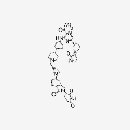 CN1CCN([C@@H]2CCCN(c3cnc(C(N)=O)c(Nc4ccc(C5CCN(C[C@H]6CCN(c7ccc8c(c7)CN(C7CCC(=O)NC7=O)C8=O)C6)CC5)cc4)n3)C2)C1=O